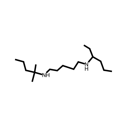 CCCC(CC)NCCCCCNC(C)(C)CCC